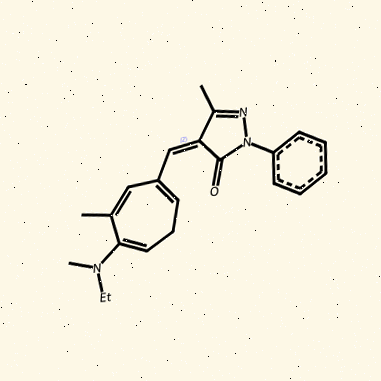 CCN(C)C1=CCC=C(/C=C2\C(=O)N(c3ccccc3)N=C2C)C=C1C